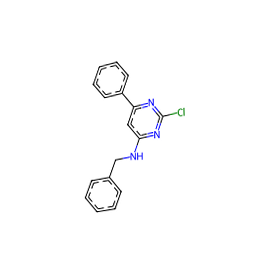 Clc1nc(NCc2ccccc2)cc(-c2ccccc2)n1